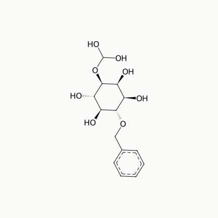 OC(O)O[C@H]1[C@@H](O)[C@@H](O)[C@H](OCc2ccccc2)[C@@H](O)[C@@H]1O